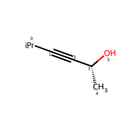 CC(C)C#C[C@@H](C)O